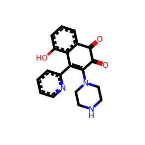 O=C1C(=O)c2cccc(O)c2C(c2ccccn2)=C1N1CCNCC1